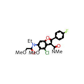 CCN(C(=O)COC)c1cc2oc(-c3ccc(F)cc3)c(C(=O)NC)c2c(Cl)c1OC